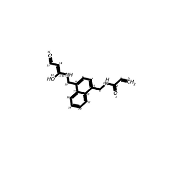 C=CC(=O)NCc1ccc(CNC(O)=CC=O)c2ccccc12